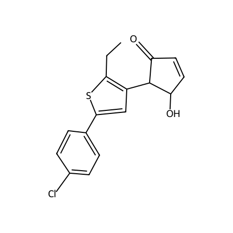 CCc1sc(-c2ccc(Cl)cc2)cc1C1C(=O)C=CC1O